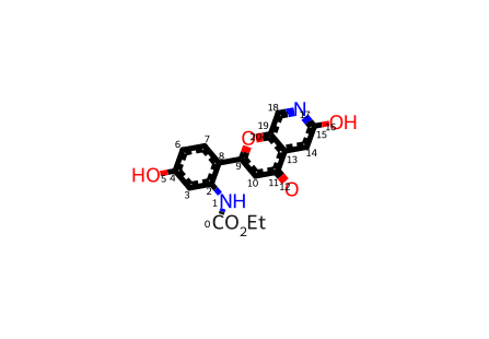 CCOC(=O)Nc1cc(O)ccc1-c1cc(=O)c2cc(O)ncc2o1